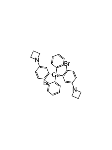 Brc1ccc(N2CCC2)c[c]1[Ge]([c]1ccccc1)([c]1ccccc1)[c]1cc(N2CCC2)ccc1Br